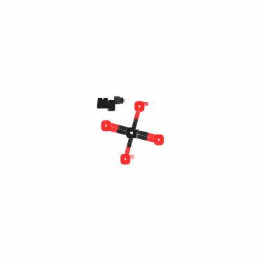 [Mg+2].[O]=[Cr](=[O])([O-])[O-]